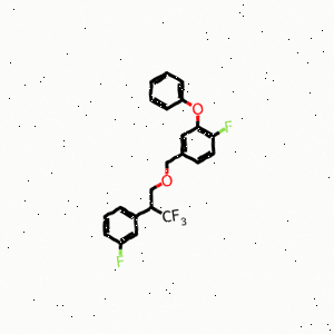 Fc1cccc(C(COCc2ccc(F)c(Oc3ccccc3)c2)C(F)(F)F)c1